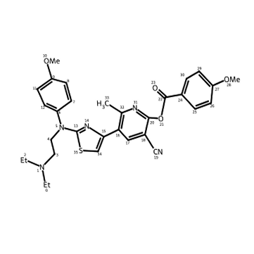 CCN(CC)CCN(c1ccc(OC)cc1)c1nc(-c2cc(C#N)c(OC(=O)c3ccc(OC)cc3)nc2C)cs1